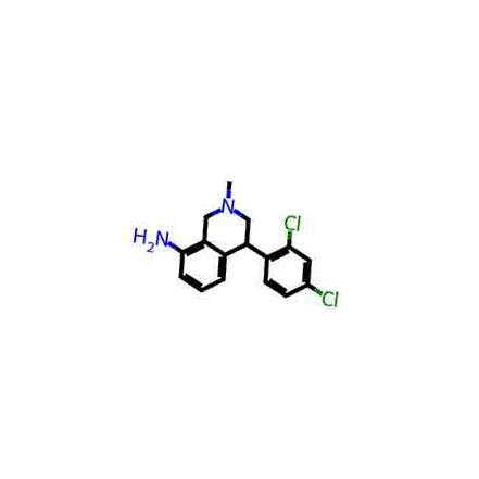 CN1Cc2c(N)cccc2C(c2ccc(Cl)cc2Cl)C1